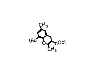 CCCCCCCCC1=C(C)Oc2c(cc(C)cc2C(C)(C)C)C1